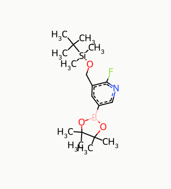 CC1(C)OB(c2cnc(F)c(CO[Si](C)(C)C(C)(C)C)c2)OC1(C)C